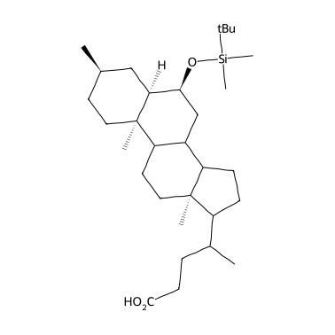 CC(CCC(=O)O)C1CCC2C3C[C@H](O[Si](C)(C)C(C)(C)C)[C@@H]4C[C@H](C)CC[C@]4(C)C3CC[C@]12C